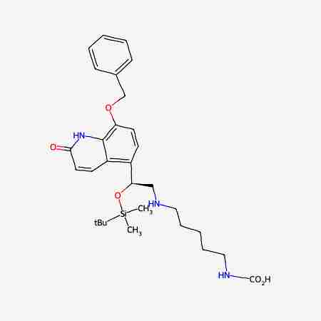 CC(C)(C)[Si](C)(C)O[C@H](CNCCCCCNC(=O)O)c1ccc(OCc2ccccc2)c2[nH]c(=O)ccc12